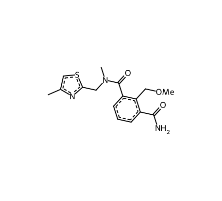 COCc1c(C(N)=O)cccc1C(=O)N(C)Cc1nc(C)cs1